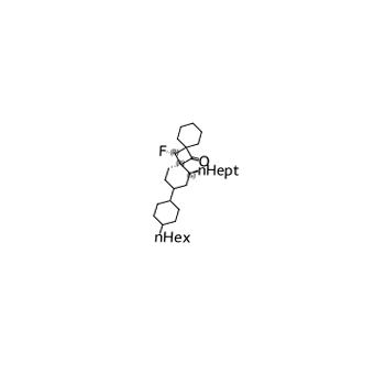 CCCCCCC[C@H]1CC(C2CCC(CCCCCC)CC2)CC[C@]12C(=O)C1(CCCCC1)[C@H]2F